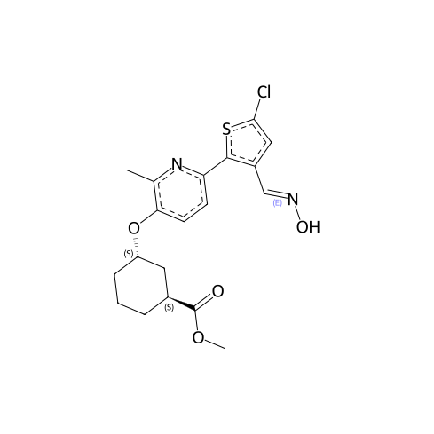 COC(=O)[C@H]1CCC[C@H](Oc2ccc(-c3sc(Cl)cc3/C=N/O)nc2C)C1